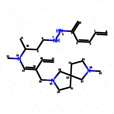 C=C/C=C\C(=C)NNCCC(C)N(C)/C=C(\C=C)CN1CCC2(CCN(C)C2)C1